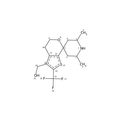 CC1CC2(CC(C)N1)OCCc1c2sc(C(F)(F)F)c1CO